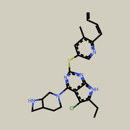 C=C/C=C\c1ncc(Sc2nc(N3CCC4CNC4C3)c3c(Cl)c(CC)[nH]c3n2)cc1C